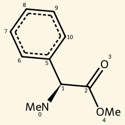 CN[C@H](C(=O)OC)c1ccccc1